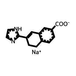 O=C([O-])c1ccc2c(c1)C=C(c1ncc[nH]1)CC2.[Na+]